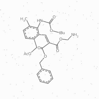 CC(=O)OCc1ccc(C)c(NC(=O)OC(C)(C)C)c1C=C(C(=O)OCN)C(=O)OCc1ccccc1